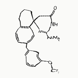 CNC1=N[C@@]2(CCCc3ccc(-c4cccc(OC(F)(F)F)c4)cc32)CC(=O)N1